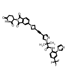 CC(C)(C(=O)Nc1ccc(C(F)(F)F)cc1-n1ccnc1)n1cc(C#CC2CN(c3ccc4c(c3)C(=O)N(C3CCC(=O)NC3=O)C4=O)C2)cn1